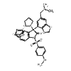 COc1ccc(S(=O)(=O)N2C(=O)C(c3cc(CN(C)C)cc4c3OCO4)(N3CCC[C@H]3c3ncco3)c3cc(Cl)ccc32)cc1